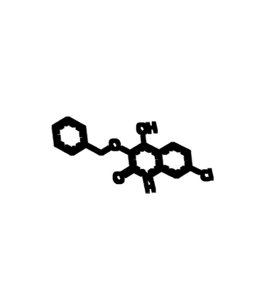 O=c1[nH]c2cc(Cl)ccc2c(O)c1OCc1ccccc1